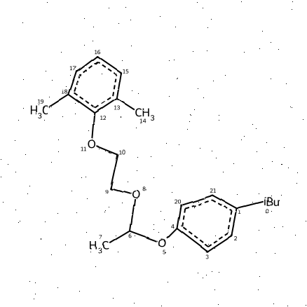 CCC(C)c1ccc(OC(C)OCCOc2c(C)cccc2C)cc1